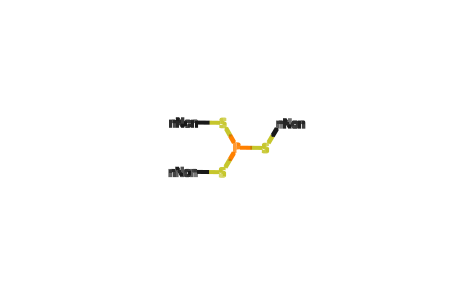 CCCCCCCCCSP(SCCCCCCCCC)SCCCCCCCCC